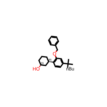 CCCCC(C)(C)c1ccc([C@@H]2CCC[C@H](O)C2)c(OCc2ccccc2)c1